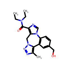 CCN(CC)C(=O)c1ncn2c1Cn1nnc(C)c1-c1cc(CO)ccc1-2